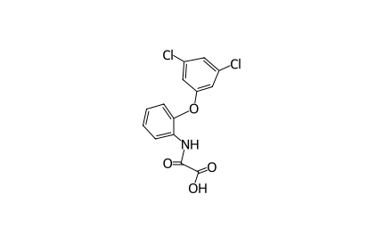 O=C(O)C(=O)Nc1ccccc1Oc1cc(Cl)cc(Cl)c1